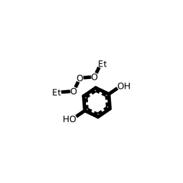 CCOOOCC.Oc1ccc(O)cc1